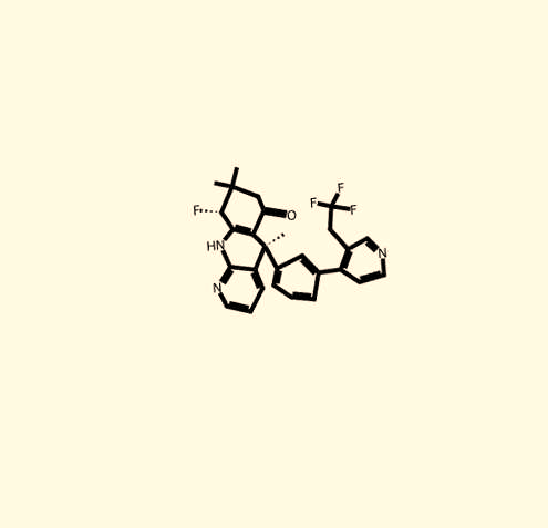 CC1(C)CC(=O)C2=C(Nc3ncccc3[C@]2(C)c2cccc(-c3ccncc3CC(F)(F)F)c2)[C@@H]1F